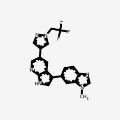 Cn1cnc2ccc(-c3c[nH]c4ncc(-c5cnn(CC(F)(F)F)c5)cc34)cc21